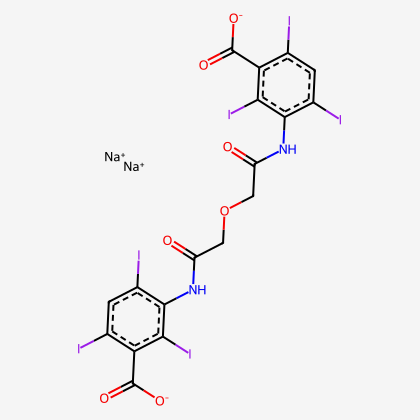 O=C(COCC(=O)Nc1c(I)cc(I)c(C(=O)[O-])c1I)Nc1c(I)cc(I)c(C(=O)[O-])c1I.[Na+].[Na+]